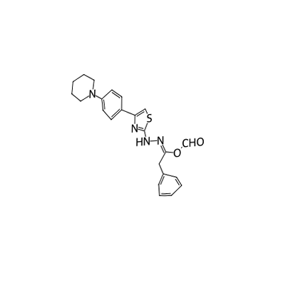 O=CO/C(Cc1ccccc1)=N/Nc1nc(-c2ccc(N3CCCCC3)cc2)cs1